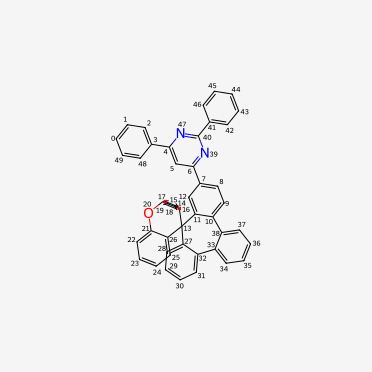 c1ccc(-c2cc(-c3ccc4c(c3)C3(c5ccccc5Oc5ccccc53)c3ccccc3-c3ccccc3-4)nc(-c3ccccc3)n2)cc1